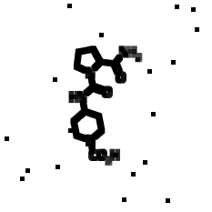 NC(=O)C1CCCN1C(=O)NC1CCN(C(=O)O)CC1